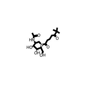 CC(=O)NC1CN(C(=O)CCCC(=O)C(C)(C)C)C(CO)[C@H](O)[C@@H]1O